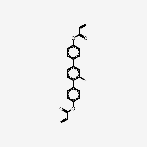 C=CC(=O)Oc1ccc(-c2ccc(-c3ccc(OC(=O)C=C)cc3)c(F)c2)cc1